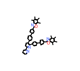 Cc1c(C)c(C)c2oc(-c3ccc(-c4ccc(-c5ccc(-c6ccccn6)nc5-c5ccc(-c6ccc(-c7nc8c(C)c(C)c(C)c(C)c8o7)cc6)cc5)cc4)cc3)nc2c1C